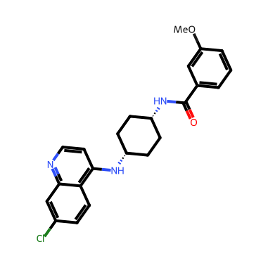 COc1cccc(C(=O)N[C@H]2CC[C@@H](Nc3ccnc4cc(Cl)ccc34)CC2)c1